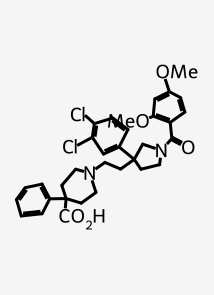 COc1ccc(C(=O)N2CCC(CCN3CCC(C(=O)O)(c4ccccc4)CC3)(c3ccc(Cl)c(Cl)c3)C2)c(OC)c1